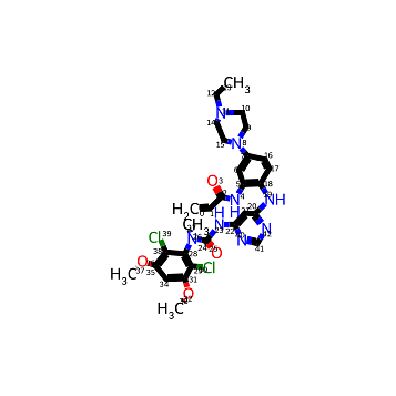 C=CC(=O)Nc1cc(N2CCN(CC)CC2)ccc1Nc1cc(NC(=O)N(C)c2c(Cl)c(OC)cc(OC)c2Cl)ncn1